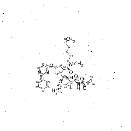 C=CCCCCN(C)C(=O)C1CC(Oc2ccnc(-c3ccccc3)n2)CC1C(=O)NC1(C(=O)NS(=O)(=O)C2CC2)CC1C=C